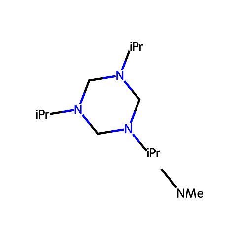 CC(C)N1CN(C(C)C)CN(C(C)C)C1.CNC